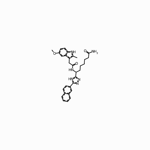 COc1ccc2[nH]c(C)c(CC(=O)NC(CCCCCC(N)=O)c3nnc(-c4ccc5ccccc5c4)[nH]3)c2c1